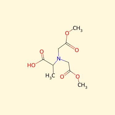 COC(=O)CN(CC(=O)OC)C(C)C(=O)O